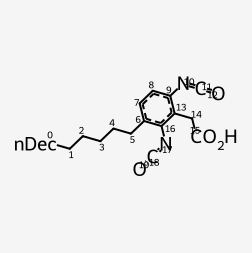 CCCCCCCCCCCCCCCc1ccc(N=C=O)c(CC(=O)O)c1N=C=O